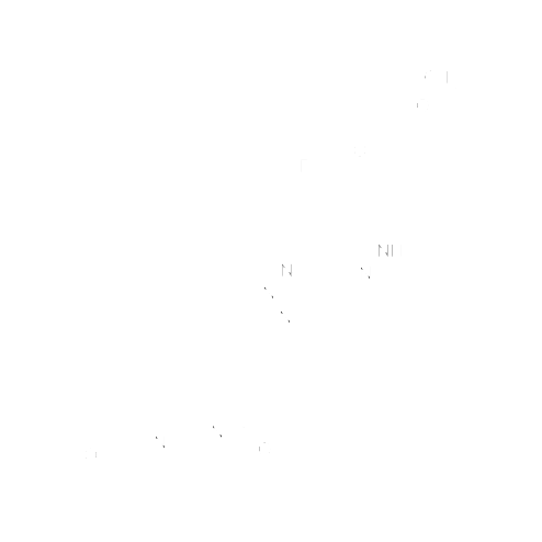 COCCOc1cc2[nH]nc(-c3cn(-c4ccc(C(=O)N5CCN(C6COC6)CC5)cc4)nn3)c2cc1F